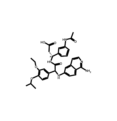 CCOc1cc(C(Nc2ccc3c(N)nccc3c2)C(=O)N[C@H](CC(=O)O)c2cccc(NC(C)=O)c2)ccc1OC(C)C